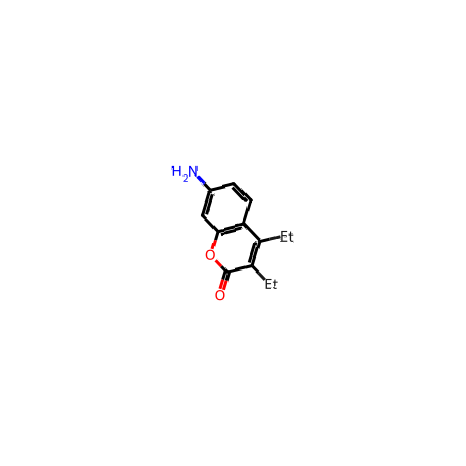 CCc1c(CC)c2ccc(N)cc2oc1=O